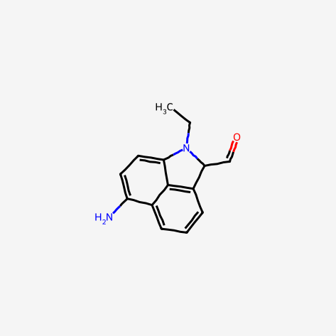 CCN1c2ccc(N)c3cccc(c23)C1C=O